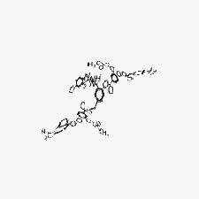 C=CC(=O)OCOc1ccc(C(=O)OCCc2ccc(OC(=O)c3ccc(OCOC(=O)C=C)c(OCOC(=O)C=C)c3)c(/C=N/Nc3nc4ccc(Cl)cc4s3)c2)cc1OCOC(=O)C=C